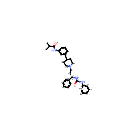 CC(C)C(=O)Nc1cccc(C2CCN(CC[C@H](NC(=O)Nc3ccccc3)c3ccccc3)CC2)c1